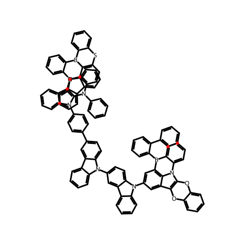 c1ccc(-c2ccccc2B2c3ccccc3-n3c4c(c5cc(-n6c7ccccc7c7cc(-n8c9ccccc9c9cc(-c%10ccc(-n%11c%12c(c%13ccccc%13%11)Oc%11c(ccc%13c%11B(c%11ccccc%11-n%11c%14ccccc%14c%14ccccc%14%11)c%11ccccc%11S%13)N%12c%11ccccc%11)cc%10)ccc98)ccc76)cc2c53)Oc2ccccc2O4)cc1